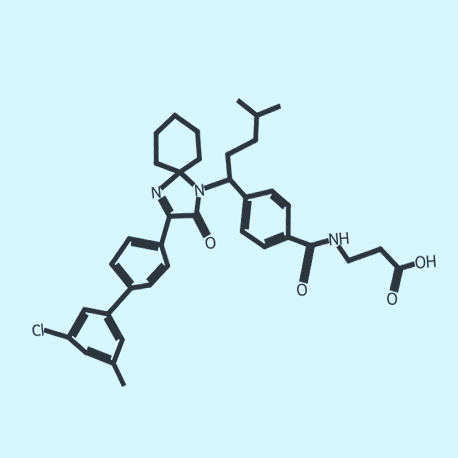 Cc1cc(Cl)cc(-c2ccc(C3=NC4(CCCCC4)N(C(CCC(C)C)c4ccc(C(=O)NCCC(=O)O)cc4)C3=O)cc2)c1